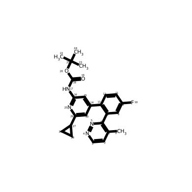 Cc1ccnnc1-c1cc(F)ccc1-c1cc(NC(=O)OC(C)(C)C)nc(C2CC2)c1